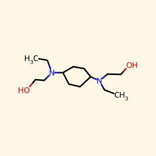 CCN(CCO)C1CCC(N(CC)CCO)CC1